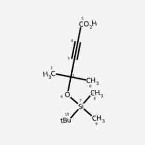 CC(C)(C#CC(=O)O)O[Si](C)(C)C(C)(C)C